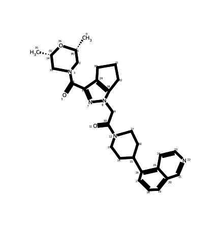 C[C@@H]1CN(C(=O)c2nn(CC(=O)N3CCC(c4cccc5cnccc45)CC3)c3c2CCC3)C[C@H](C)O1